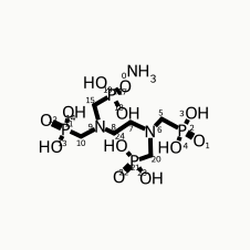 N.O=P(O)(O)CN(CCN(CP(=O)(O)O)CP(=O)(O)O)CP(=O)(O)O